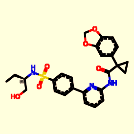 CC[C@H](CO)NS(=O)(=O)c1ccc(-c2cccc(NC(=O)C3(c4ccc5c(c4)OCO5)CC3)n2)cc1